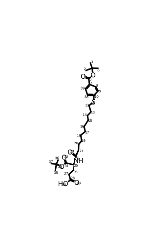 CC(C)(C)OC(=O)c1ccc(SCCCCCCCCCCC(=O)N[C@@H](CCC(=O)O)C(=O)OC(C)(C)C)cc1